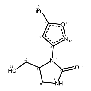 CC(C)c1cc(N2C(=O)NCC2CO)no1